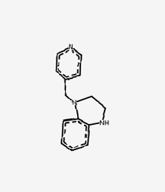 c1ccc2c(c1)NCCN2Cc1ccncc1